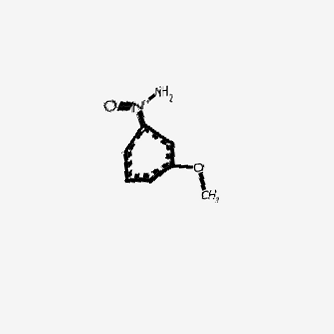 COc1cc[c]c([N+](N)=O)c1